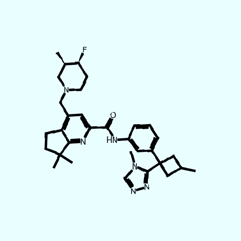 CC1CC(c2cccc(NC(=O)c3cc(CN4CC[C@H](F)[C@H](C)C4)c4c(n3)C(C)(C)CC4)c2)(c2nncn2C)C1